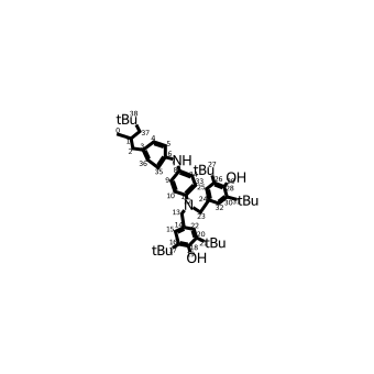 CC(Cc1ccc(Nc2ccc(N(Cc3cc(C(C)(C)C)c(O)c(C(C)(C)C)c3)Cc3cc(C(C)(C)C)c(O)c(C(C)(C)C)c3)cc2)cc1)CC(C)(C)C